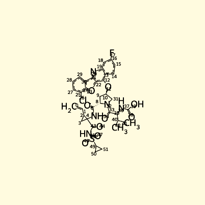 C=CC1CC1(NC(=O)[C@@H]1C[C@@H](Oc2c3ccc(F)cc3nc3c2oc2c(Cl)cccc23)CN1C(=O)[C@@H](NC(=O)O)C(C)C)C(=O)NS(=O)(=O)C1CC1